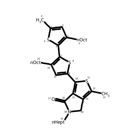 CCCCCCCCc1cc(C)sc1-c1sc(-c2sc(C)c3c2C(=O)N(CCCCCCC)C3)cc1CCCCCCCC